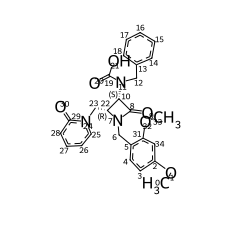 COc1ccc(CN2C(=O)[C@@H](N(Cc3ccccc3)C(=O)O)[C@H]2Cn2ccccc2=O)c(OC)c1